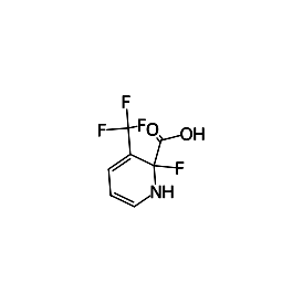 O=C(O)C1(F)NC=CC=C1C(F)(F)F